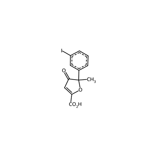 CC1(c2cccc(I)c2)OC(C(=O)O)=CC1=O